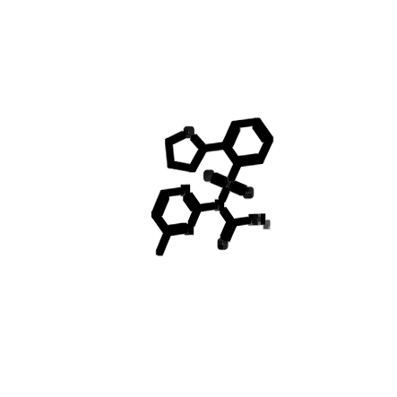 Cc1ccnc(N(C(N)=O)S(=O)(=O)c2ccccc2C2CCCO2)n1